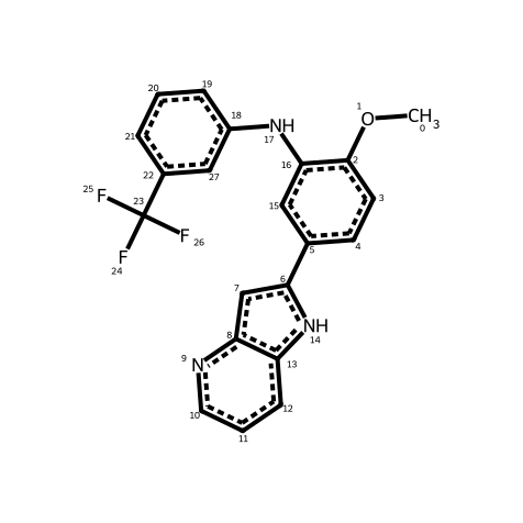 COc1ccc(-c2cc3ncccc3[nH]2)cc1Nc1cccc(C(F)(F)F)c1